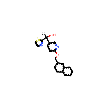 CCC(O)(c1ccc(OCc2ccc3ccccc3c2)nc1)c1nccs1